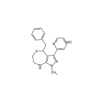 Cl.Cn1nc(-c2ccccn2)c2c1NCCSC2Cc1ccccc1